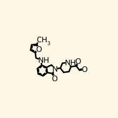 Cc1ccc(CNc2cccc3c2CN(C2CCC(C(=O)C=O)NC2)C3=O)o1